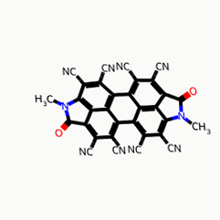 CN1C(=O)c2c(C#N)c(C#N)c3c4c(C#N)c(C#N)c5c6c(c(C#N)c(C#N)c(c7c(C#N)c(C#N)c1c2c37)c64)C(=O)N5C